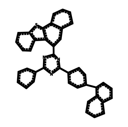 c1ccc(-c2nc(-c3ccc(-c4cccc5ccccc45)cc3)nc(-c3cc4ccccc4c4sc5ccccc5c34)n2)cc1